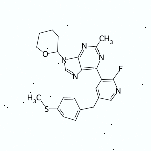 CSc1ccc(Cc2cnc(F)c(-c3nc(C)nc4c3ncn4C3CCCCO3)c2)cc1